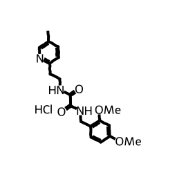 COc1ccc(CNC(=O)C(=O)NCCc2ccc(C)cn2)c(OC)c1.Cl